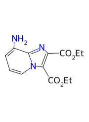 CCOC(=O)c1nc2c(N)cccn2c1C(=O)OCC